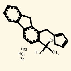 CC(C)(C)c1ccc2c(c1CC1=CC=CC1)Cc1ccccc1-2.Cl.Cl.[Zr]